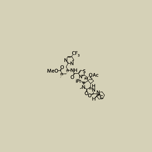 COC(=O)[C@@H](C)C[C@H](Cc1ncc(C(F)(F)F)cn1)NC(=O)c1csc([C@@H](C[C@H](C(C)C)N(C)C(=O)[C@@H](NC(=O)[C@H]2CC3CCN2CC3)C2CSC2)OC(C)=O)n1